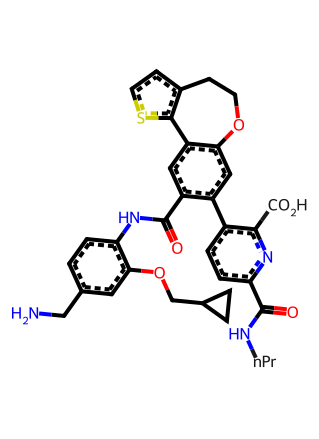 CCCNC(=O)c1ccc(-c2cc3c(cc2C(=O)Nc2ccc(CN)cc2OCC2CC2)-c2sccc2CCO3)c(C(=O)O)n1